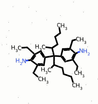 CCCCC(C)C(c1cc(CC)c(N)c(CC)c1)(c1cc(CC)c(N)c(CC)c1)C(C)CCCC